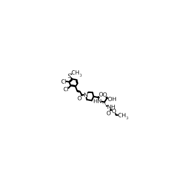 CCOC(=O)NC[C@H](NC(=O)C1CCN(C(=O)C=Cc2ccc(SC)c(Cl)c2Cl)CC1)C(=O)O